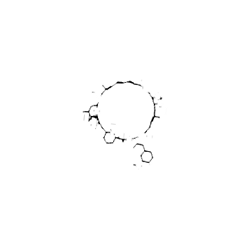 COC1CC(CC(C)[C@@H]2CC(=O)[C@H](C)/C=C(\C)[C@@H](O)C(OC)C(=O)[C@H](C)C[C@H](C)/C=C/C=C/C=C(\C)[C@@H](OC)CC3CC(C)C(C)C(O)(O3)C(=O)C(=O)C3CCC[C@H](N3)C(=O)O2)CC[C@H]1O